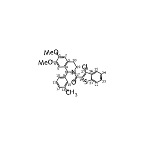 COc1cc2c(cc1OC)C(c1cccc(C)c1)N(C(=O)c1sc3ccccc3c1Cl)CC2